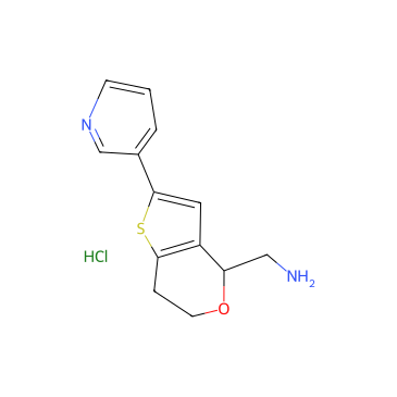 Cl.NCC1OCCc2sc(-c3cccnc3)cc21